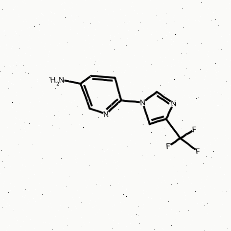 Nc1ccc(-n2cnc(C(F)(F)F)c2)nc1